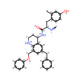 C=NC(Cc1ccc(O)cc1C)C(=O)NC1CCNc2c(COc3ccccc3)cc(Cc3ccccc3)cc21